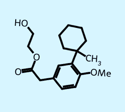 COc1ccc(CC(=O)OCCO)cc1C1(C)CCCCC1